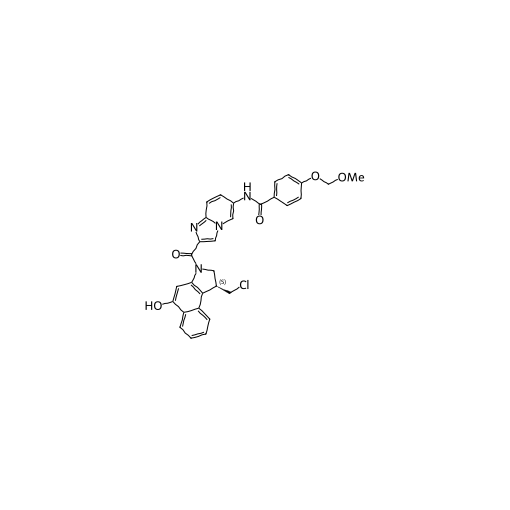 COCOc1ccc(C(=O)Nc2ccc3nc(C(=O)N4C[C@@H](CCl)c5c4cc(O)c4ccccc54)cn3c2)cc1